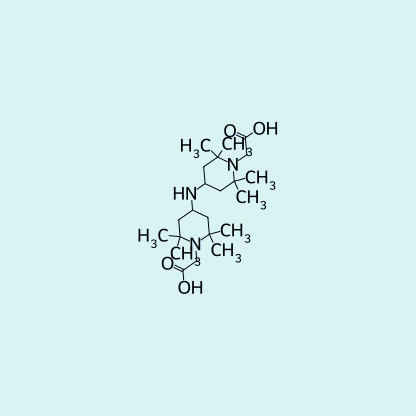 CC1(C)CC(NC2CC(C)(C)N(CC(=O)O)C(C)(C)C2)CC(C)(C)N1CC(=O)O